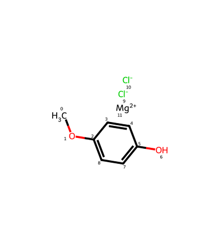 COc1ccc(O)cc1.[Cl-].[Cl-].[Mg+2]